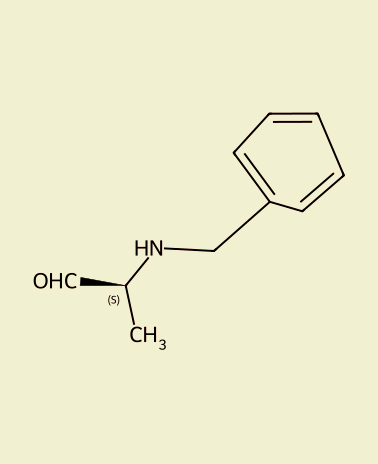 C[C@@H](C=O)NCc1ccccc1